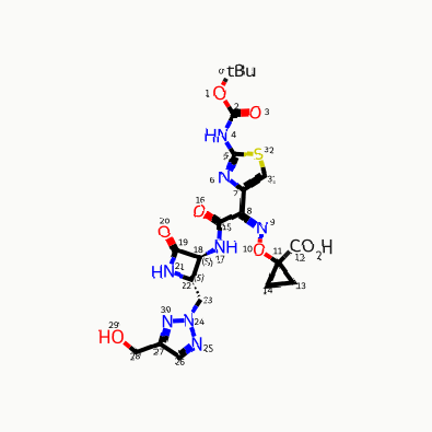 CC(C)(C)OC(=O)Nc1nc(C(=NOC2(C(=O)O)CC2)C(=O)N[C@@H]2C(=O)N[C@H]2Cn2ncc(CO)n2)cs1